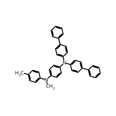 Cc1ccc(N(C)c2ccc(N(c3ccc(-c4ccccc4)cc3)c3ccc(-c4ccccc4)cc3)cc2)cc1